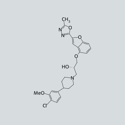 COc1cc(C2CCN(C[C@H](O)COc3cccc4oc(-c5nnc(C)o5)cc34)CC2)ccc1Cl